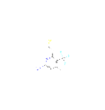 Cc1cc(N)nc(CCS)c1C(F)(F)F